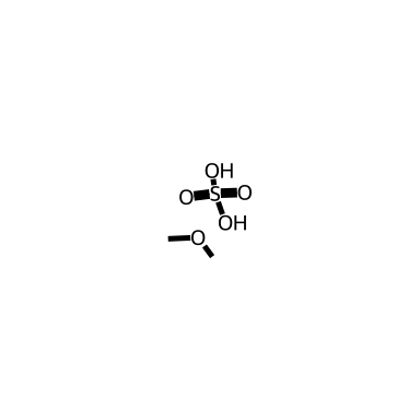 COC.O=S(=O)(O)O